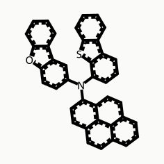 c1cc2ccc3ccc(N(c4ccc5oc6ccccc6c5c4)c4cccc5c4sc4ccccc45)c4ccc(c1)c2c34